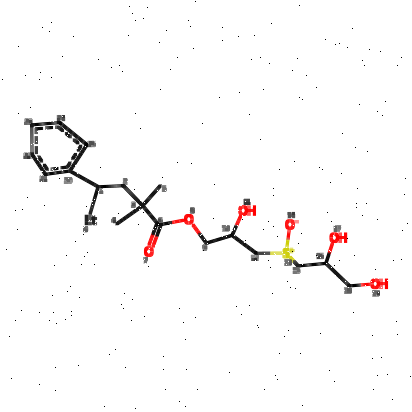 CCC(CC(C)(C)C(=O)OCC(O)C[S+]([O-])CC(O)CO)c1ccccc1